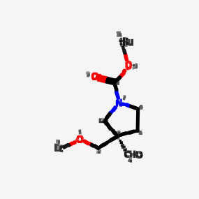 CCOC[C@]1(C=O)CCN(C(=O)OC(C)(C)C)C1